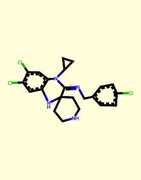 Clc1ccc(C/N=C2/N(C3CC3)c3cc(Cl)c(Cl)cc3NC23CCNCC3)cc1